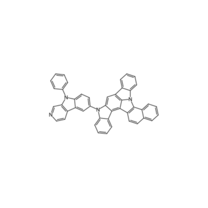 c1ccc(-n2c3ccc(-n4c5ccccc5c5c6c7ccc8ccccc8c7n7c8ccccc8c(cc54)c67)cc3c3ccncc32)cc1